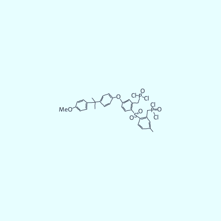 COc1ccc(C(C)(C)c2ccc(Oc3ccc(S(=O)(=O)c4ccc(C)cc4CP(=O)(Cl)Cl)c(CP(=O)(Cl)Cl)c3)cc2)cc1